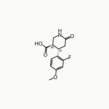 COc1ccc([C@H]2CC(=O)NC[C@@H]2C(=O)O)c(F)c1